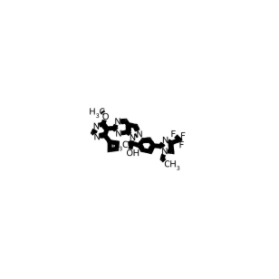 CCn1cc(C(F)(F)F)nc1-c1ccc(C(C)(O)n2ncc3cnc(-c4c(OC)ncnc4C4CCC4)nc32)cc1